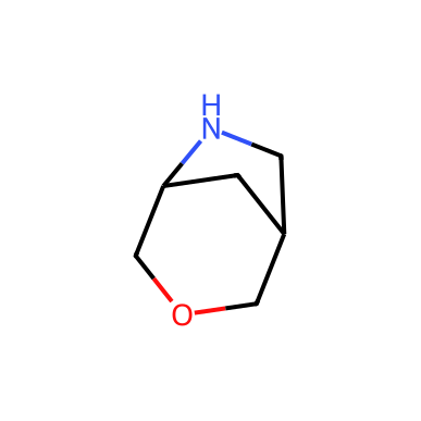 C1NC2COCC1C2